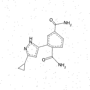 NC(=O)c1ccc(C(N)=O)c(-c2cc(C3CC3)n[nH]2)c1